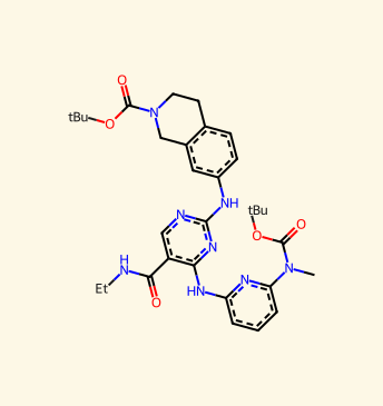 CCNC(=O)c1cnc(Nc2ccc3c(c2)CN(C(=O)OC(C)(C)C)CC3)nc1Nc1cccc(N(C)C(=O)OC(C)(C)C)n1